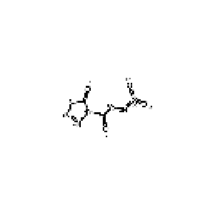 O=C1CN=NN1C(=O)SN=S(=O)=O